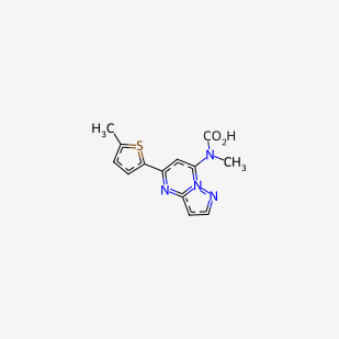 Cc1ccc(-c2cc(N(C)C(=O)O)n3nccc3n2)s1